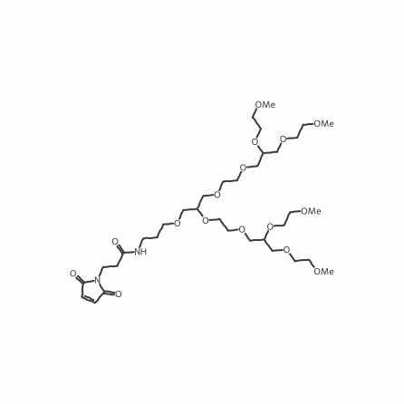 COCCOCC(COCCOCC(COCCCNC(=O)CCN1C(=O)C=CC1=O)OCCOCC(COCCOC)OCCOC)OCCOC